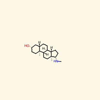 CN[C@H]1CC[C@H]2[C@@H]3CC[C@H]4C[C@@H](O)CC[C@]4(C)[C@H]3CC[C@]12C